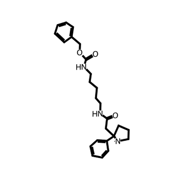 O=C(CC1(c2ccccc2)CCC[N]1)NCCCCCNC(=O)OCc1ccccc1